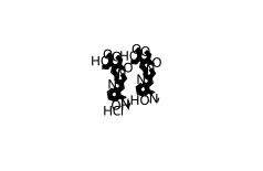 CC[C@@]1(O)C(=O)OCc2c1cc1n(c2=O)Cc2cc3c(CN(C)C)c(O)ccc3nc2-1.CC[C@@]1(O)C(=O)OCc2c1cc1n(c2=O)Cc2cc3c(CN(C)C)c(O)ccc3nc2-1.Cl